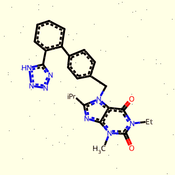 CCn1c(=O)c2c(nc(C(C)C)n2Cc2ccc(-c3ccccc3-c3nnn[nH]3)cc2)n(C)c1=O